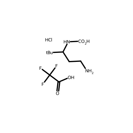 CC(C)(C)C(CCN)NC(=O)O.Cl.O=C(O)C(F)(F)F